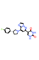 O=c1[nH]cc(-c2cc(N3CC[C@H](c4ccc(F)cc4)C3)c3nccn3n2)c(=O)[nH]1